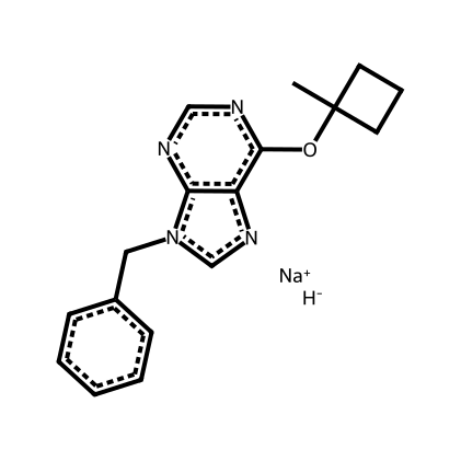 CC1(Oc2ncnc3c2ncn3Cc2ccccc2)CCC1.[H-].[Na+]